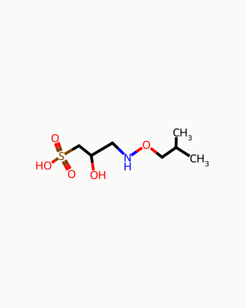 CC(C)CONCC(O)CS(=O)(=O)O